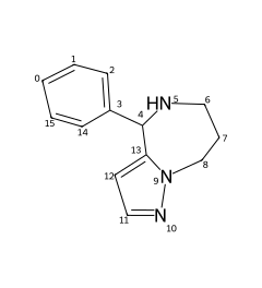 c1ccc(C2NCCCn3nccc32)cc1